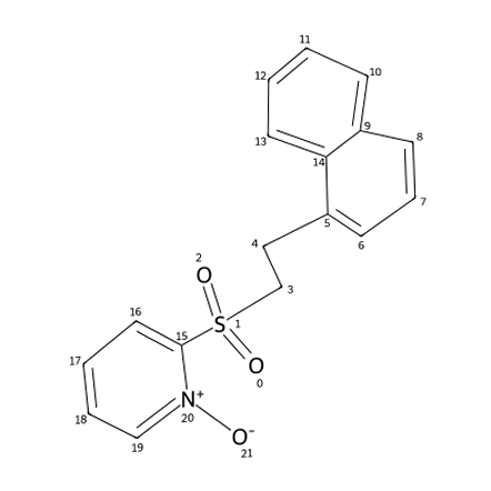 O=S(=O)(CCc1cccc2ccccc12)c1cccc[n+]1[O-]